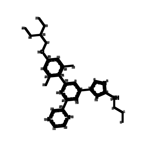 CCCNc1ncc(-c2cc(-c3c(C)cc(OCC(CC)CC)cc3C)nc(-c3cnccn3)n2)s1